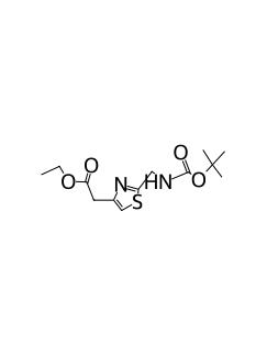 CCOC(=O)Cc1csc(CNC(=O)OC(C)(C)C)n1